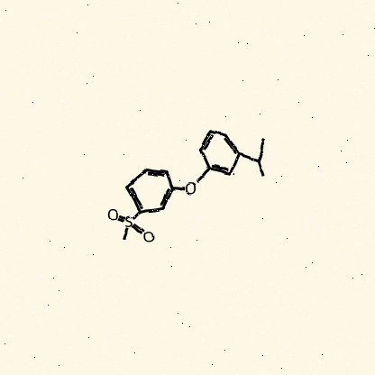 CC(C)c1[c]c(Oc2cccc(S(C)(=O)=O)c2)ccc1